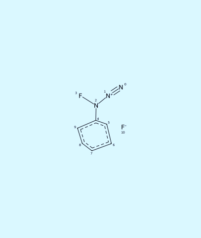 N#[N+]N(F)c1ccccc1.[F-]